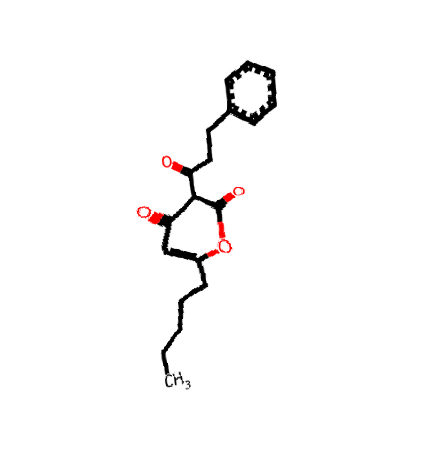 CCCCCC1=CC(=O)C(C(=O)CCc2ccccc2)C(=O)O1